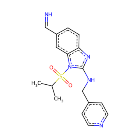 CC(C)S(=O)(=O)n1c(NCc2ccncc2)nc2ccc(C=N)cc21